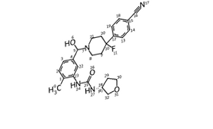 Cc1ccc(C(O)N2CCC(F)(c3ccc(C#N)cc3)CC2)cc1NC(=O)N[C@@H]1CCOC1